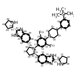 C[Si](C)(C)c1cccc(C2CCN(c3c(F)cc(N4[C@@H](c5ccc6nc([C@@H]7CCCN7)[nH]c6c5)CC[C@@H]4c4ccc5nc([C@@H]6CCCN6)[nH]c5c4)cc3F)CC2)c1